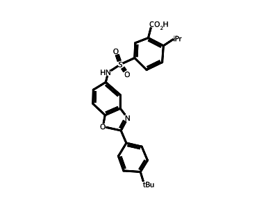 CC(C)c1ccc(S(=O)(=O)Nc2ccc3oc(-c4ccc(C(C)(C)C)cc4)nc3c2)cc1C(=O)O